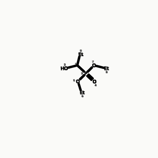 [CH2]CC(O)P(=O)(OCC)OCC